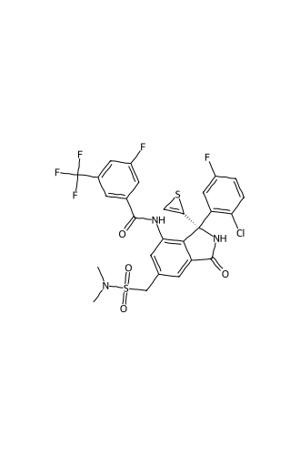 CN(C)S(=O)(=O)Cc1cc(NC(=O)c2cc(F)cc(C(F)(F)F)c2)c2c(c1)C(=O)N[C@]2(C1=CS1)c1cc(F)ccc1Cl